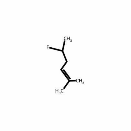 CC(C)=CCC(C)F